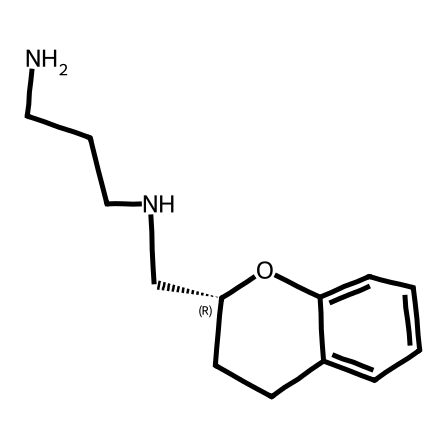 NCCCNC[C@H]1CCc2ccccc2O1